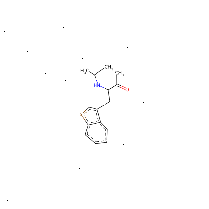 CC(=O)C(Cc1csc2ccccc12)NC(C)C